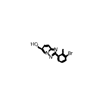 Cc1c(Br)cccc1-c1nc2ccc(CO)cn2n1